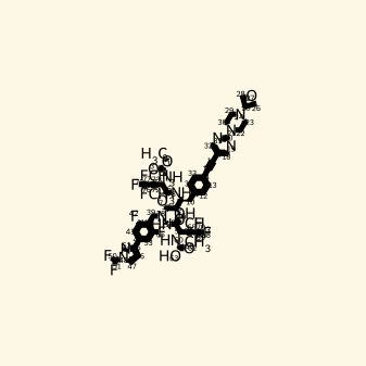 COC(=O)N[C@H](C(=O)N[C@@H](Cc1ccc(C#Cc2cnc(N3CCN(C4COC4)CC3)nc2)cc1)[C@@H](O)CN(Cc1c(F)cc(-c2ccn(C(F)F)n2)cc1F)NC(=O)[C@@H](NC(=O)O)C(C)(C)C(F)(F)F)C(C)(C)C(F)(F)F